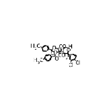 Cc1ccc(C(=O)O[C@@H](C(=O)O)[C@@](OC(=O)c2ccc(C)cc2)(C(=O)O)N2CCOC(c3ccc(Cl)c(Cl)c3)C2)cc1